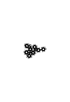 c1ccc(-c2ccc3c(c2)c2ccccc2n3-c2ccc3c(c2)C2(c4ccccc4-3)c3ccccc3-c3c2ccc2sc4ccccc4c32)cc1